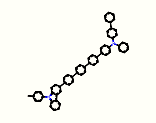 Cc1ccc(-n2c3ccccc3c3cc(-c4ccc(-c5ccc(-c6ccc(-c7ccc(N(c8ccccc8)c8ccc(-c9ccccc9)cc8)cc7)cc6)cc5)cc4)ccc32)cc1